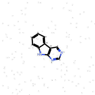 [c]1ncnc2[nH]c3ccccc3c12